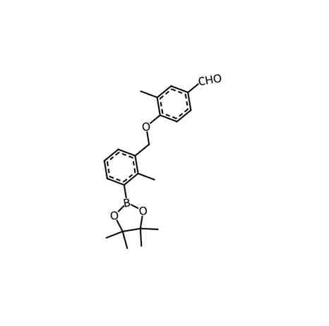 Cc1cc(C=O)ccc1OCc1cccc(B2OC(C)(C)C(C)(C)O2)c1C